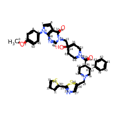 COc1ccc(-n2ccc3c(=O)n(CC4(O)CCN(C(=O)[C@@H]5CCN(Cc6cnc(-c7cccs7)s6)C[C@H]5c5ccccc5)CC4)cnc32)cc1